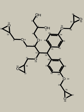 OCC(O)COC(COCC1CO1)C(OCC1CO1)C(c1ccc(OCC2CO2)cc1)c1ccc(OCC2CO2)cc1